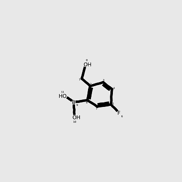 OCc1ccc(F)cc1B(O)O